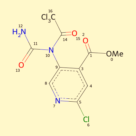 COC(=O)c1cc(Cl)ncc1N(C(N)=O)C(=O)C(Cl)(Cl)Cl